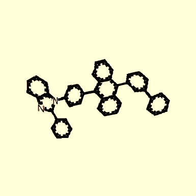 c1ccc(-c2cccc(-c3c4ccccc4c(-c4ccc(-n5c(-c6ccccc6)nc6ccccc65)cc4)c4ccccc34)c2)cc1